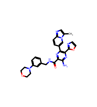 Cc1cnc2ccc(-c3nc(C(=O)NCc4cccc(N5CCOCC5)c4)c(N)nc3-c3ncco3)cn12